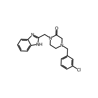 O=C1CN(Cc2cccc(Cl)c2)CCN1Cc1nc2ccccc2[nH]1